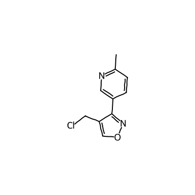 Cc1ccc(-c2nocc2CCl)cn1